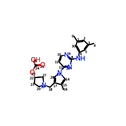 Cc1cc(C)cc(Nc2nccc(-n3cc(C)c(CN4CC[C@H](OC(=O)O)C4)c3)n2)c1